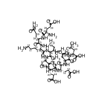 CC[C@H](C)[C@H](NC(=O)[C@H](CCCCN)NC(=O)[C@H](CCC(N)=O)NC(=O)[C@@H](N)CCC(=O)O)C(=O)N[C@@H](CO)C(=O)N[C@@H](CCC(=O)O)C(=O)N[C@@H](CCC(=O)O)C(=O)N[C@@H](CC(=O)O)C(=O)N[C@@H](CC(C)C)C(=O)O